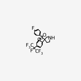 O=S(=O)(c1ccc(F)cc1)C1(c2ccc(C(F)(C(F)(F)F)C(F)(F)F)cc2)CCNC1